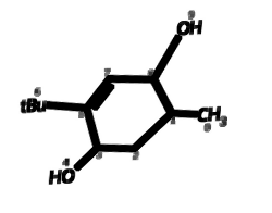 CC1CC(O)C(C(C)(C)C)=CC1O